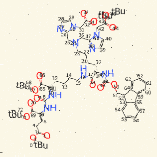 CC(C)(C)OC(=O)CC[C@H](NC(=O)N[C@@H](CCCCNC(=O)[C@H](CCCCN(Cc1nccn1CC(=O)OC(C)(C)C)Cc1nccn1CC(=O)OC(C)(C)C)NC(=O)OCC1c2ccccc2-c2ccccc21)C(=O)OC(C)(C)C)C(=O)OC(C)(C)C